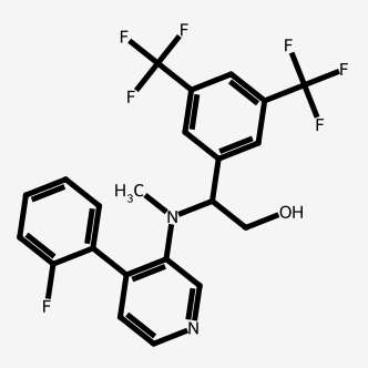 CN(c1cnccc1-c1ccccc1F)C(CO)c1cc(C(F)(F)F)cc(C(F)(F)F)c1